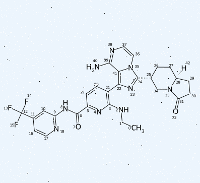 CCNc1nc(C(=O)Nc2cc(C(F)(F)F)ccn2)ccc1-c1nc([C@@H]2CC[C@H]3CCC(=O)N3C2)n2ccnc(N)c12